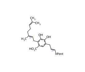 CCCCC/C=C/Cc1cc(C(=O)O)c(C/C=C(\C)CCC=C(C)C)c(O)c1O